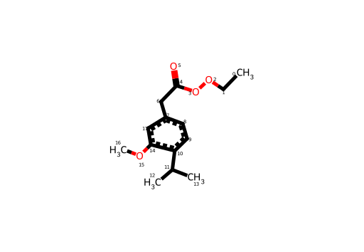 CCOOC(=O)Cc1ccc(C(C)C)c(OC)c1